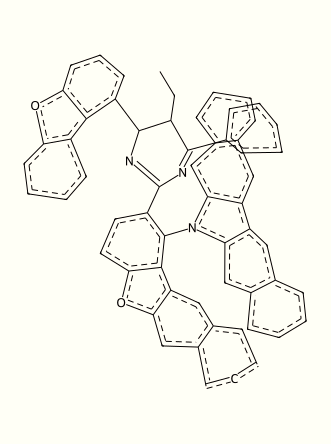 CCC1C(c2ccccc2)=NC(c2ccc3oc4cc5ccccc5cc4c3c2-n2c3cc4ccccc4cc3c3cc4ccccc4cc32)=NC1c1cccc2oc3ccccc3c12